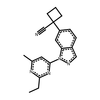 CCc1nc(C)cc(-n2ncc3ccc(C4(C#N)CCC4)cc32)n1